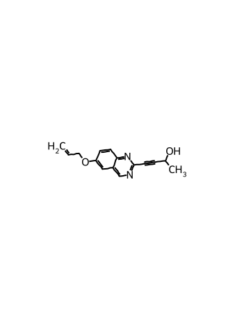 C=CCOc1ccc2nc(C#CC(C)O)ncc2c1